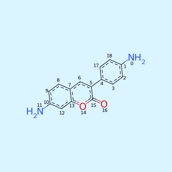 Nc1ccc(-c2cc3ccc(N)cc3oc2=O)cc1